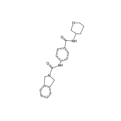 O=C(NC1CCCOC1)c1ccc(NC(=O)N2Cc3ccccc3C2)cc1